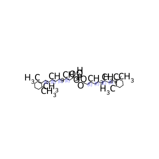 CC1=C(/C=C/C(C)=C/C=C/C(C)=C/C(=O)O[PH](=O)OC(=O)/C=C(C)/C=C/C=C(C)/C=C/C2=C(C)CCCC2(C)C)C(C)(C)CCC1